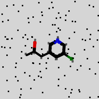 CC(=O)Cc1cncc(Br)c1